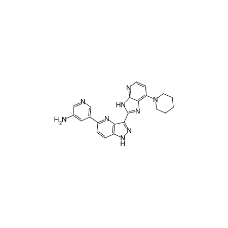 Nc1cncc(-c2ccc3[nH]nc(-c4nc5c(N6CCCCC6)ccnc5[nH]4)c3n2)c1